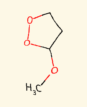 COC1CCOO1